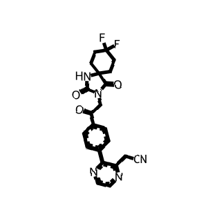 N#CCc1nccnc1-c1ccc(C(=O)CN2C(=O)NC3(CCC(F)(F)CC3)C2=O)cc1